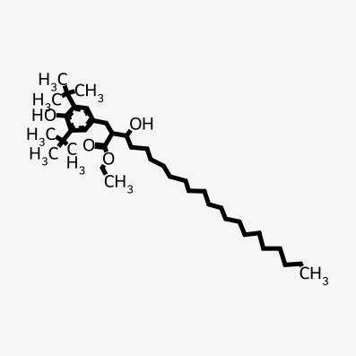 CCCCCCCCCCCCCCCCCCCC(O)C(Cc1cc(C(C)(C)C)c(O)c(C(C)(C)C)c1)C(=O)OCC